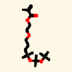 C=C(C)C(=O)OCCOCCC[Si](C)(C)O[Si](C)(C)O[Si](C)(C)C